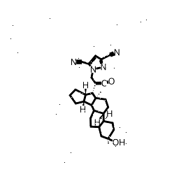 C[C@@]1(O)CC[C@H]2C(CCC3C4[C@@H]5CCC[C@@H]5[C@H](C(=C=O)Cn5nc(C#N)cc5C#N)[C@@]4(C)CC[C@@H]32)C1